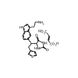 NCCc1c[nH]c2ccc(C(Cc3ccsc3)C3NC(=O)NC3=O)cc12.O=C(O)C=CC(=O)O